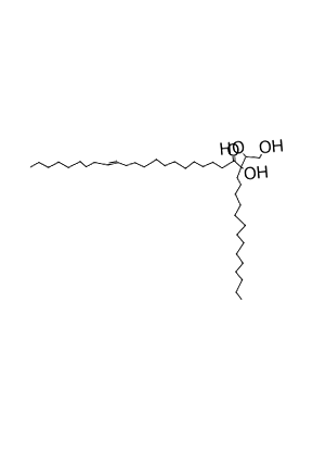 CCCCCCCCC=CCCCCCCCCCCCC(=O)C(O)(CCCCCCCCCCCCCC)C(O)CO